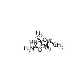 [CH2]C(C)(NC(N)=O)OC(=O)C=C